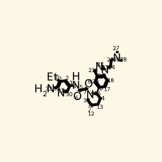 CCc1cc(NC(=O)C(=O)N2C[C@@H](C)CC[C@@H]2c2ccc3c(cnn3CCN(C)C)c2)cnc1N